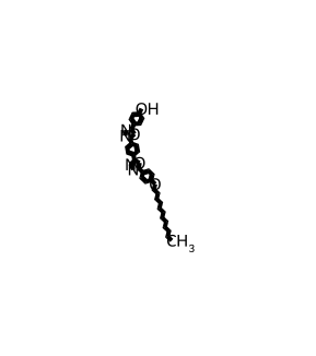 CCCCCCCCCCCCOc1ccc(-c2nnc(-c3ccc(-c4nnc(-c5ccc(O)cc5)o4)cc3)o2)cc1